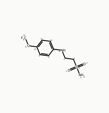 NS(=O)(=O)CCNc1ccc(OC(F)(F)F)cc1